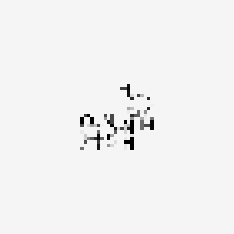 CC(C)C1(C)SC(N[C@@H]2C[C@H]3CC[C@@H]2C3)=NC1=O